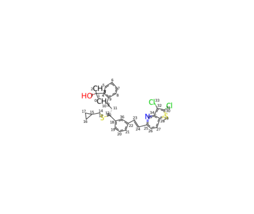 CC(C)(O)c1ccccc1CC[C@@H](SCC1CC1)c1cccc(C=Cc2ccc3sc(Cl)c(Cl)c3n2)c1